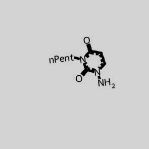 CCCCCn1c(=O)ccn(N)c1=O